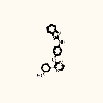 O[C@H]1CCC[C@H](c2nccnc2Oc2ccc(Nc3nc4ccccc4s3)cc2)C1